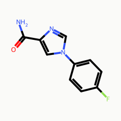 NC(=O)c1cn(-c2ccc(F)cc2)cn1